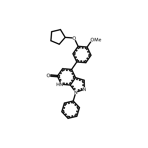 COc1ccc(-c2cc(=O)[nH]c3c2cnn3-c2ccccc2)cc1OC1CCCC1